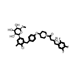 CS[C@H]1O[C@@H](c2cc(C)c(Cl)c(Cc3ccc(OC4CCN(C(=O)C[C@H](N)Cc5cc(F)c(F)cc5F)CC4)cc3)c2)[C@H](O)[C@@H](O)[C@@H]1O